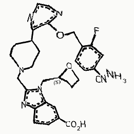 N.N#Cc1ccc(COc2nccnc2C2CCN(Cc3nc4ccc(C(=O)O)cc4n3C[C@@H]3CCO3)CC2)c(F)c1